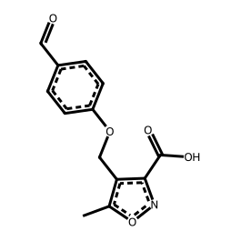 Cc1onc(C(=O)O)c1COc1ccc(C=O)cc1